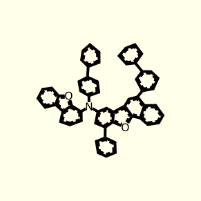 c1ccc(-c2ccc(N(c3cc(-c4ccccc4)c4oc5c6ccccc6c(-c6cccc(-c7ccccc7)c6)cc5c4c3)c3cccc4c3oc3ccccc34)cc2)cc1